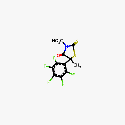 CC1(c2c(F)c(F)c(F)c(F)c2F)SC(=S)N(C(=O)O)C1=O